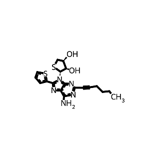 CCCCC#Cc1nc(N)c2nc(-c3cccs3)n([C@@H]3SC[C@@H](O)[C@H]3O)c2n1